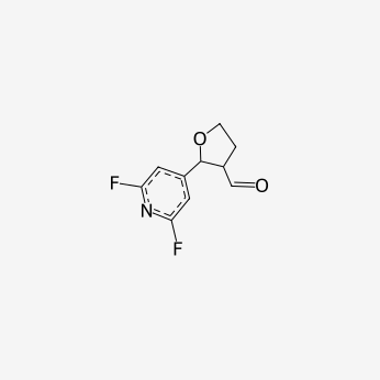 O=CC1CCOC1c1cc(F)nc(F)c1